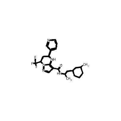 CC1CCCC(CC(C)NC(=O)c2cnn3c2NC(c2cccnc2)CC3C(F)(F)F)C1